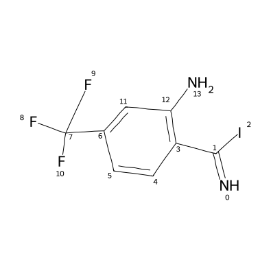 N=C(I)c1ccc(C(F)(F)F)cc1N